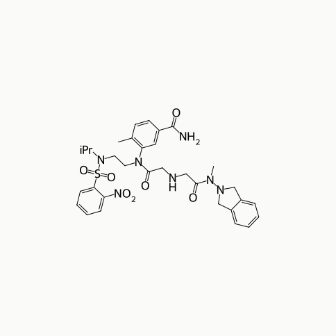 Cc1ccc(C(N)=O)cc1N(CCN(C(C)C)S(=O)(=O)c1ccccc1[N+](=O)[O-])C(=O)CNCC(=O)N(C)N1Cc2ccccc2C1